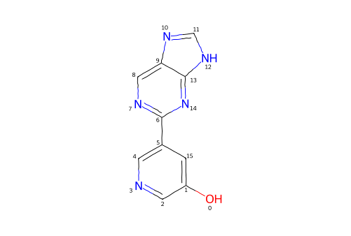 Oc1cncc(-c2ncc3nc[nH]c3n2)c1